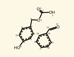 O=C(O)OCc1ccc(O)cc1.O=Cc1ccccc1